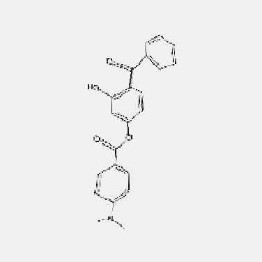 CN(C)c1ccc(C(=O)Oc2ccc(C(=O)c3ccccc3)c(O)c2)cc1